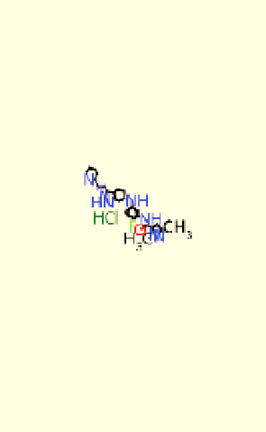 Cc1cc(C(=O)Nc2cc(Nc3ccc4c(/C=C/c5ccccn5)n[nH]c4c3)ccc2F)n(C)n1.Cl